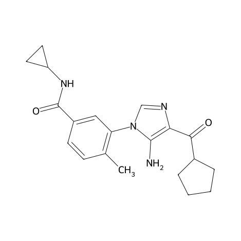 Cc1ccc(C(=O)NC2CC2)cc1-n1cnc(C(=O)C2CCCC2)c1N